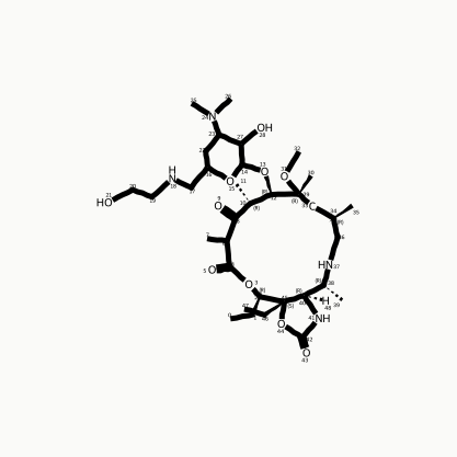 CC[C@H]1OC(=O)C(C)C(=O)[C@H](C)[C@@H](OC2OC(CNCCO)CC(N(C)C)C2O)[C@](C)(OC)C[C@@H](C)CN[C@H](C)[C@H]2NC(=O)O[C@@]21CC